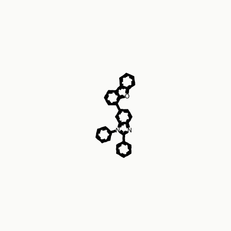 c1ccc(-c2nc3ccc(-c4cccc5c4oc4ccccc45)cc3n2-c2ccccc2)cc1